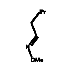 CON=CCC(C)C